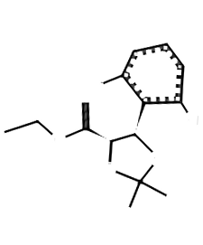 CCOC(=O)[C@@H]1OC(C)(C)O[C@@H]1c1c(Cl)cccc1Cl